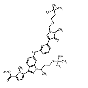 COC(=O)c1ccc(-c2nn(C(C)CCO[Si](C)(C)C(C)(C)C)c3cc(Nc4ccnc(-c5cn(COCC[Si](C)(C)C)n(C)c5=O)n4)ncc23)n1C